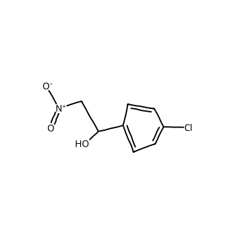 O=[N+]([O-])CC(O)c1ccc(Cl)cc1